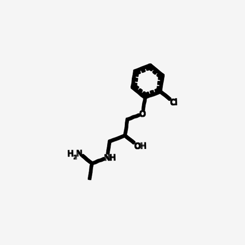 CC(N)NCC(O)COc1ccccc1Cl